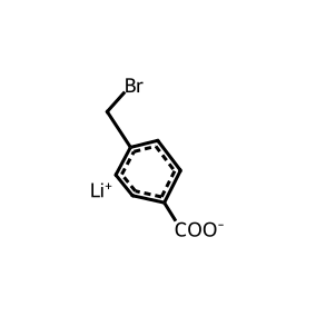 O=C([O-])c1ccc(CBr)cc1.[Li+]